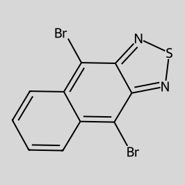 Brc1c2ccccc2c(Br)c2nsnc12